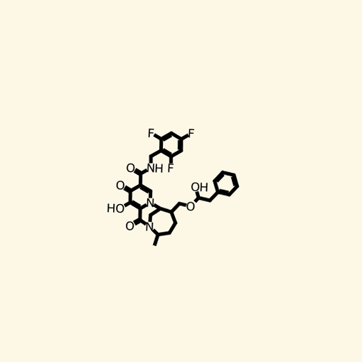 CC1CCC(COC(O)Cc2ccccc2)C2CN1C(=O)c1c(O)c(=O)c(C(=O)NCc3c(F)cc(F)cc3F)cn12